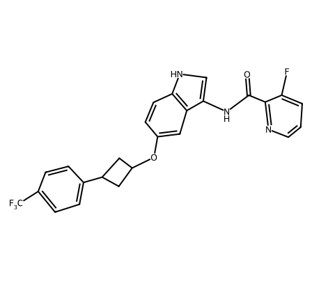 O=C(Nc1c[nH]c2ccc(OC3CC(c4ccc(C(F)(F)F)cc4)C3)cc12)c1ncccc1F